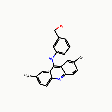 Cc1ccc2nc3ccc(C)cc3c(Nc3cccc(CO)c3)c2c1